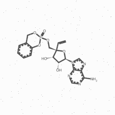 C=C[C@]1(COP2(=O)OCc3ccccc3O2)O[C@@H](n2cnc3c(N)ncnc32)[C@H](O)[C@@H]1O